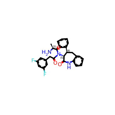 C[C@H](N)C(=O)N(C(=O)Cc1cc(F)cc(F)c1)[C@@H]1C(=O)Nc2ccccc2C[C@@H]1c1ccccc1